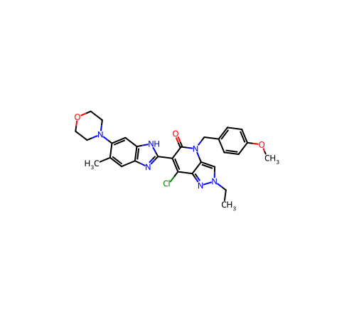 CCn1cc2c(n1)c(Cl)c(-c1nc3cc(C)c(N4CCOCC4)cc3[nH]1)c(=O)n2Cc1ccc(OC)cc1